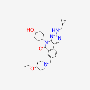 CCOC1CCN(Cc2ccc3c(c2)c(=O)n(C2CCC(O)CC2)c2nc(NCC4CC4)ncc32)CC1